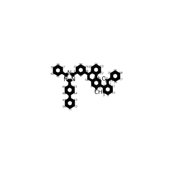 Cc1cc2c(cc1-c1ccccc1[C@@H](C)c1ccccc1)-c1ccccc1C(c1cccc(-c3nc(-c4ccccc4)nc(-c4ccc(-c5ccccc5)cc4)n3)c1)C2